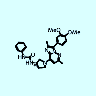 COc1ccc(-c2c(C)nc3c(N4CC[C@@H](NC(=O)Nc5ccccc5)C4)cc(C)nn23)cc1OC